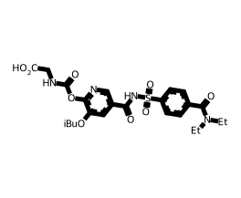 CCN(CC)C(=O)c1ccc(S(=O)(=O)NC(=O)c2cnc(OC(=O)NCC(=O)O)c(OCC(C)C)c2)cc1